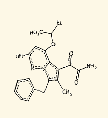 CCCc1cc(OC(CC)C(=O)O)c2c(C(=O)C(N)=O)c(C)c(Cc3ccccc3)n2n1